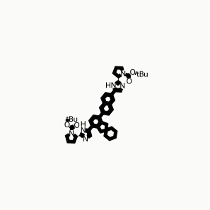 CC(C)(C)OC(=O)N1CCC[C@H]1c1ncc(-c2ccc3cc(-c4ccc(-c5cnc([C@@H]6CCCN6C(=O)OC(C)(C)C)[nH]5)c5c4CC4(CCCCC4)C5)ccc3c2)[nH]1